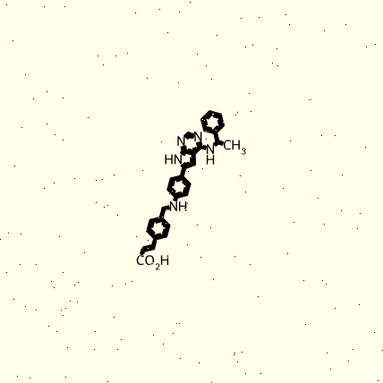 CC(Nc1ncnc2[nH]c(-c3ccc(NCc4ccc(/C=C/C(=O)O)cc4)cc3)cc12)c1ccccc1